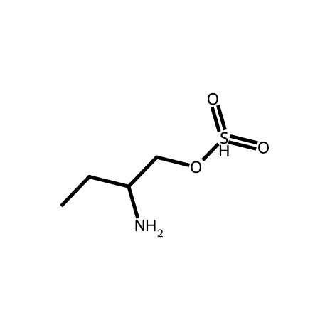 CCC(N)CO[SH](=O)=O